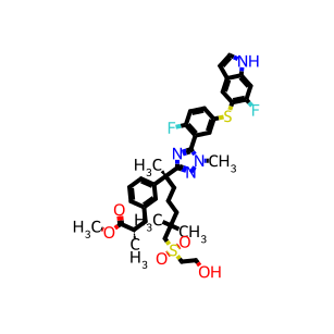 COC(=O)[C@@H](C)Cc1cccc([C@@](C)(CCCC(C)(C)CS(=O)(=O)CCO)c2nc(-c3cc(Sc4cc5cc[nH]c5cc4F)ccc3F)n(C)n2)c1